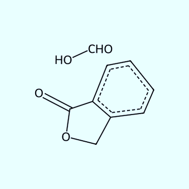 O=C1OCc2ccccc21.O=CO